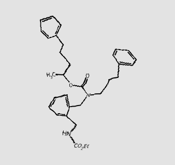 CCOC(=O)NCc1ccccc1CN(CCCc1ccccc1)C(=O)OC(C)CCCc1ccccc1